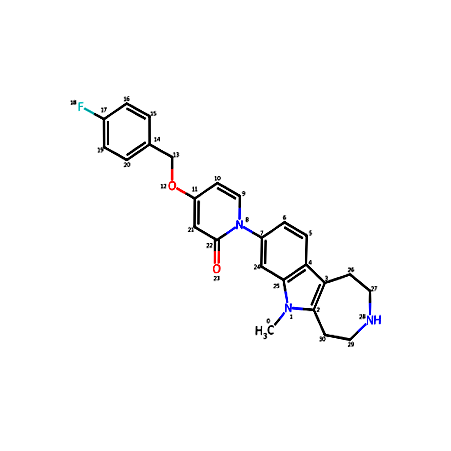 Cn1c2c(c3ccc(-n4ccc(OCc5ccc(F)cc5)cc4=O)cc31)CCNCC2